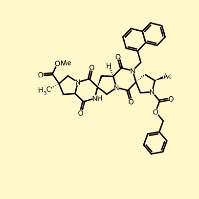 COC(=O)[C@]1(C)CC2C(=O)N[C@]3(C[C@H]4C(=O)N(Cc5cccc6ccccc56)[C@]5(C[C@@H](C(C)=O)N(C(=O)OCc6ccccc6)C5)C(=O)N4C3)C(=O)N2C1